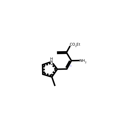 C=C(C(=O)OCC)/C(N)=C\c1[nH]ccc1C